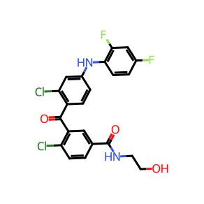 O=C(NCCO)c1ccc(Cl)c(C(=O)c2ccc(Nc3ccc(F)cc3F)cc2Cl)c1